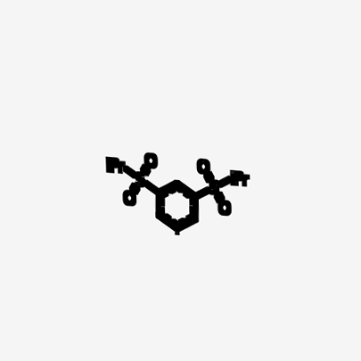 CC(C)S(=O)(=O)c1c[c]cc(S(=O)(=O)C(C)C)c1